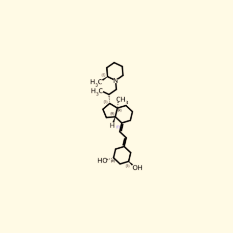 CC(CN1CCCC[C@@H]1C)[C@H]1CC[C@H]2/C(=C/C=C3C[C@@H](O)C[C@H](O)C3)CCC[C@]12C